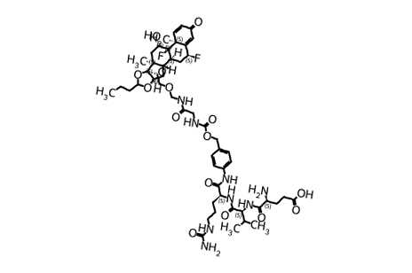 CCCC1O[C@@H]2C[C@H]3[C@@H]4C[C@H](F)C5=CC(=O)C=C[C@]5(C)[C@@]4(F)[C@@H](O)C[C@]3(C)[C@]2(C(=O)COCNC(=O)CNC(=O)OCc2ccc(NC(=O)[C@H](CCCNC(N)=O)NC(=O)[C@@H](NC(=O)[C@@H](N)CCC(=O)O)C(C)C)cc2)O1